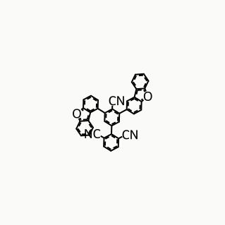 N#Cc1cccc(C#N)c1-c1cc(-c2ccc3oc4ccccc4c3c2)c(C#N)c(-c2cccc3oc4ccccc4c23)c1